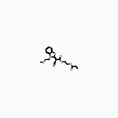 C=CC(=O)OCCOC(=O)/C(C#N)=C1\Sc2ccccc2N1CCOC